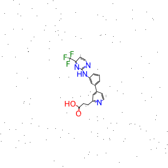 O=C(O)CCc1cc(-c2cccc(Nc3nccc(C(F)(F)F)n3)c2)ccn1